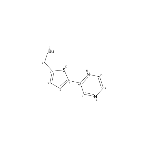 CCC(C)Cc1ccc(-c2cnccn2)s1